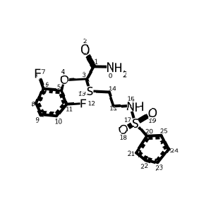 NC(=O)C(Oc1c(F)cccc1F)SCCNS(=O)(=O)c1ccccc1